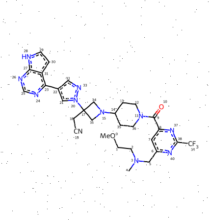 COCCN(C)Cc1cc(C(=O)N2CCC(N3CC(CC#N)(n4cc(-c5ncnc6[nH]ccc56)cn4)C3)CC2)nc(C(F)(F)F)n1